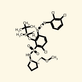 COC[C@@H]1CCCN1NS(=O)(=O)c1c(Cl)ccc(N=C=Nc2cccc(Cl)c2Cl)c1O[Si](C)(C)C(C)(C)C